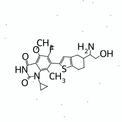 COc1c(F)c(-c2cc3c(s2)CCC(C(N)CO)C3)c(C)c2c1c(=O)[nH]c(=O)n2C1CC1